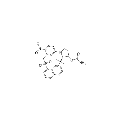 CC(C)(C)[C@@H]1C(OC(N)=O)CCN1c1ccc([N+](=O)[O-])c(CS(=O)(=O)c2cccc3ccccc23)c1